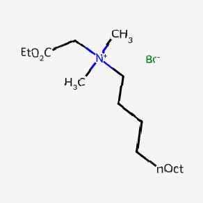 CCCCCCCCCCCC[N+](C)(C)CC(=O)OCC.[Br-]